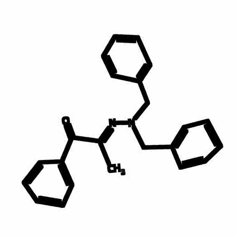 CC(=NN(Cc1ccccc1)Cc1ccccc1)C(=O)c1ccccc1